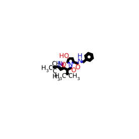 CC(C)C(C(=O)N1CC(O)CC1C(=O)NCc1ccccc1)c1cc(C(C)(C)C)no1